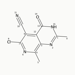 Cc1nc2c(C)nc(Cl)c(C#N)c2c(=O)[nH]1